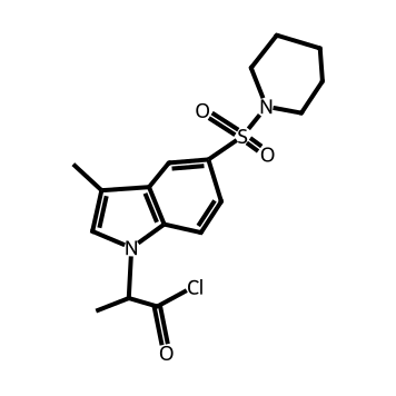 Cc1cn(C(C)C(=O)Cl)c2ccc(S(=O)(=O)N3CCCCC3)cc12